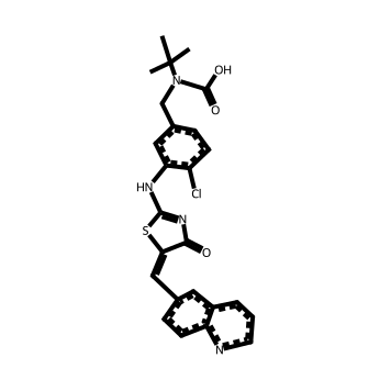 CC(C)(C)N(Cc1ccc(Cl)c(NC2=NC(=O)C(=Cc3ccc4ncccc4c3)S2)c1)C(=O)O